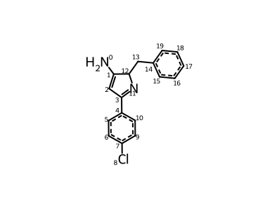 NC1=CC(c2ccc(Cl)cc2)=NC1Cc1ccccc1